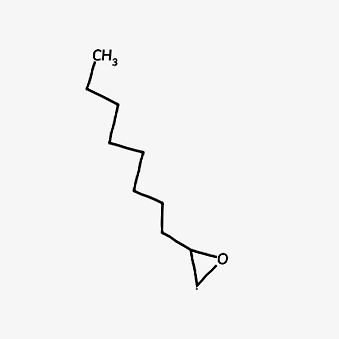 CCCCCCCCC1[CH]O1